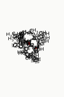 Cc1cc2ccc1Oc1cc3cc(c1O[C@@H]1O[C@H](CO)[C@@H](O)[C@H](O)[C@H]1O)Oc1ccc(cc1Cl)[C@@H](O)[C@@H]1NC(=O)[C@H](NC(=O)[C@@H]3NC(=O)[C@H](CC(N)=O)NC(=O)[C@H](NC(=O)[C@@H](CC(C)C)N(C)C(=O)OCC3c4ccccc4-c4ccccc43)[C@@H]2O)c2ccc(O)c(c2)-c2c(O)cc(O)cc2[C@@H](C(=O)NC2C3CC4CC(C3)CC2C4)NC1=O